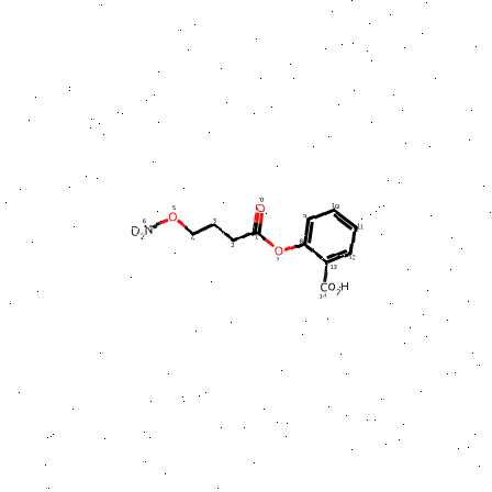 O=C(CCCO[N+](=O)[O-])Oc1ccccc1C(=O)O